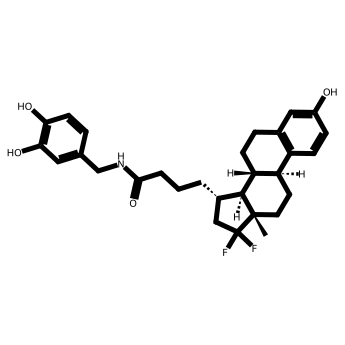 C[C@]12CC[C@@H]3c4ccc(O)cc4CC[C@H]3[C@@H]1[C@@H](CCCC(=O)NCc1ccc(O)c(O)c1)CC2(F)F